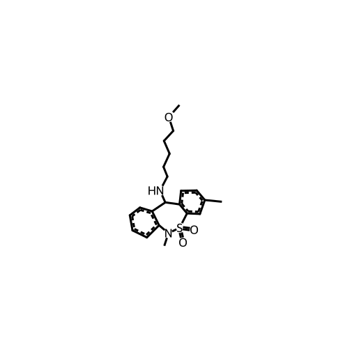 COCCCCCNC1c2ccccc2N(C)S(=O)(=O)c2cc(C)ccc21